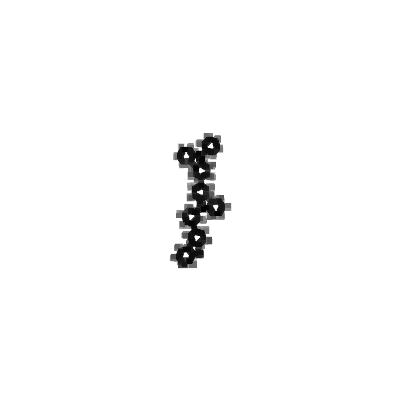 c1ccc(-n2c3ccccc3c3cc(-c4ccc5c(c4)c4ccccc4n5-c4cccc(-c5ccc6sc7cnccc7c6c5)c4)ccc32)cc1